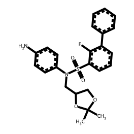 CC1(C)OCC(CN(c2ccc(N)cc2)S(=O)(=O)c2cccc(-c3ccccc3)c2F)O1